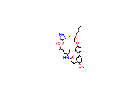 C=C/C(=C\C=C(/C)[S@+]([O-])Cc1cncn1CC)NC(=O)/C=C\c1cc(-c2ccc(OCCOCCCC)cc2)ccc1OC